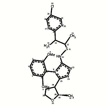 COc1cccc(OC)c1-n1c(NSC(C)C(C)c2ncc(Cl)cn2)nnc1C1CCO[C@@H]1C